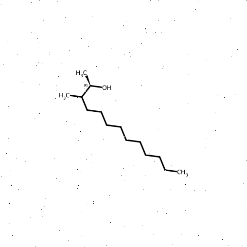 CCCCCCCCCCC(C)[C@@H](C)O